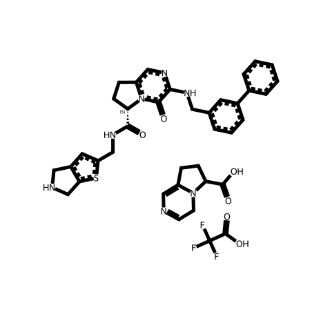 O=C(NCc1cc2c(s1)CNC2)[C@@H]1CCc2cnc(NCc3cccc(-c4ccccc4)c3)c(=O)n21.O=C(O)C(F)(F)F.O=C(O)C1CCC2=CN=CCN21